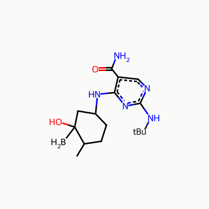 BC1(O)CC(Nc2nc(NC(C)(C)C)ncc2C(N)=O)CCC1C